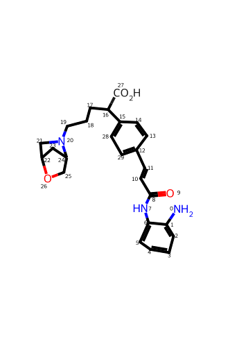 Nc1ccccc1NC(=O)C=Cc1ccc(C(CCCN2CC3CC2CO3)C(=O)O)cc1